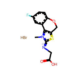 Br.Cn1c2c(s/c1=N\CC(=O)O)COc1ccc(F)cc1-2